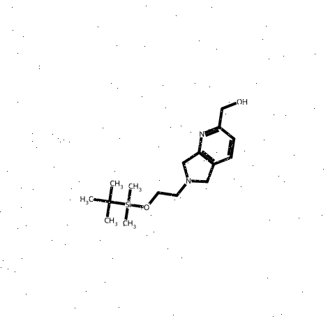 CC(C)(C)[Si](C)(C)OCCN1Cc2ccc(CO)nc2C1